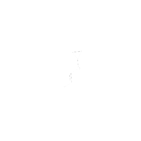 O=[N+]([O-])/C=C/NC1CC1